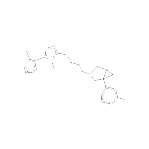 Cc1ncoc1-c1nnc(SCCCN2C[C@H]3CC3(c3cccc(F)c3)C2)n1C